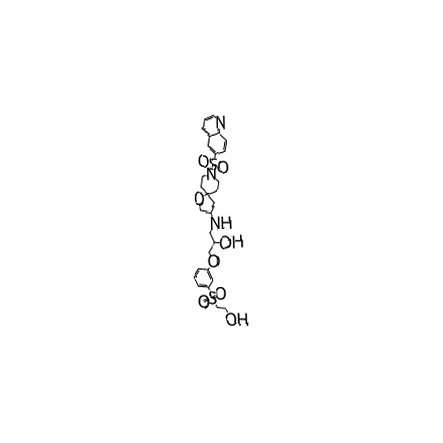 O=S(=O)(CCO)c1cccc(OCC(O)CNC2COC3(CCN(S(=O)(=O)c4ccc5ncccc5c4)CC3)C2)c1